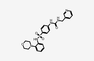 O=C(NCc1cccnc1)Nc1ccc(S(=O)(=O)Nc2ccccc2N2CCOCC2)cc1